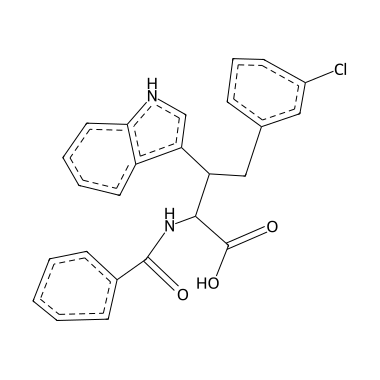 O=C(NC(C(=O)O)C(Cc1cccc(Cl)c1)c1c[nH]c2ccccc12)c1ccccc1